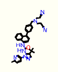 Cc1ccc(-n2ncc(C(C)(C)C)c2NC(=O)Nc2ccc(-c3ccc(CN(CCC#N)CCC#N)cc3)c3ccccc23)cn1